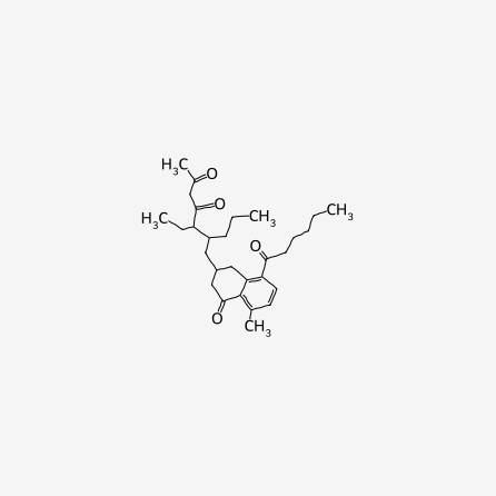 CCCCCC(=O)c1ccc(C)c2c1CC(CC(CCC)C(CC)C(=O)CC(C)=O)CC2=O